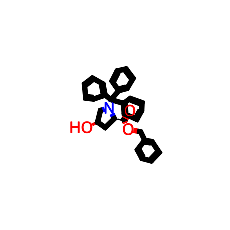 O=C(OCc1ccccc1)[C@@H]1C[C@@H](O)CN1C(c1ccccc1)(c1ccccc1)c1ccccc1